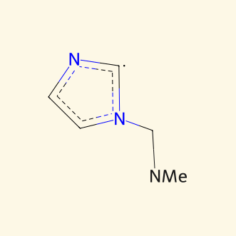 CNCn1[c]ncc1